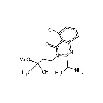 COC(C)(C)CCn1c(C(C)N)nc2cccc(Cl)c2c1=O